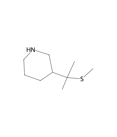 CSC(C)(C)C1CCCNC1